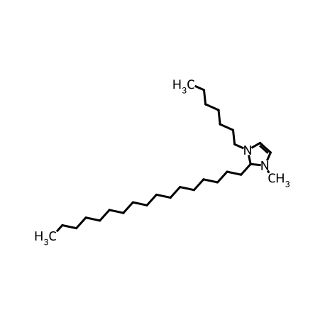 CCCCCCCCCCCCCCCCCC1N(C)C=CN1CCCCCCC